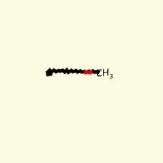 CCCCCCCCCCCCCCCCCCCCCCC1=[C]CC=C1